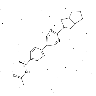 CC(=O)N[C@@H](C)c1ccc(-c2cnc(N3CC4CCCC4C3)nc2)cc1